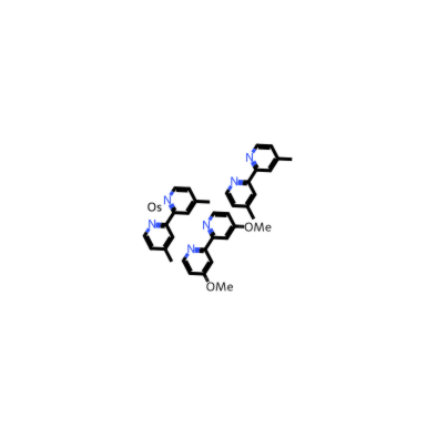 COc1ccnc(-c2cc(OC)ccn2)c1.Cc1ccnc(-c2cc(C)ccn2)c1.Cc1ccnc(-c2cc(C)ccn2)c1.[Os]